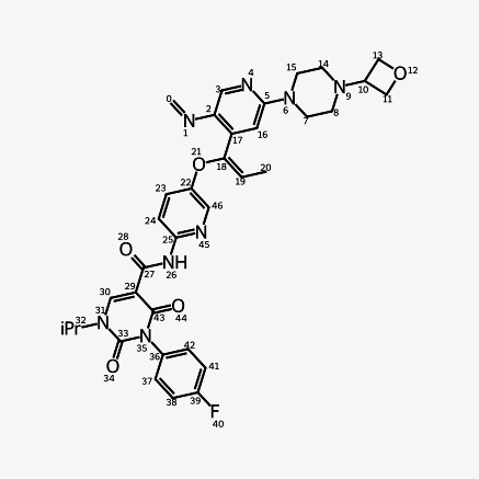 C=Nc1cnc(N2CCN(C3COC3)CC2)cc1/C(=C\C)Oc1ccc(NC(=O)c2cn(C(C)C)c(=O)n(-c3ccc(F)cc3)c2=O)nc1